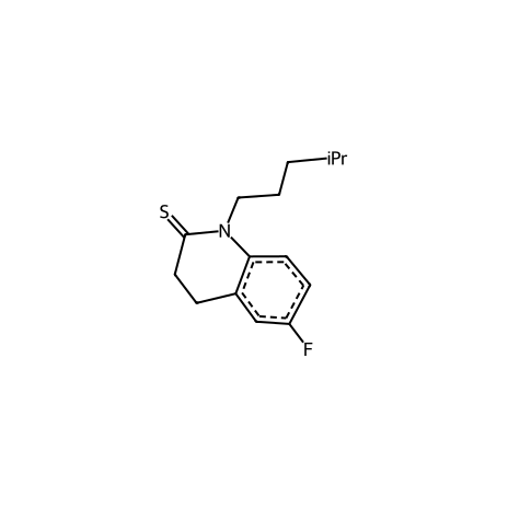 CC(C)CCCN1C(=S)CCc2cc(F)ccc21